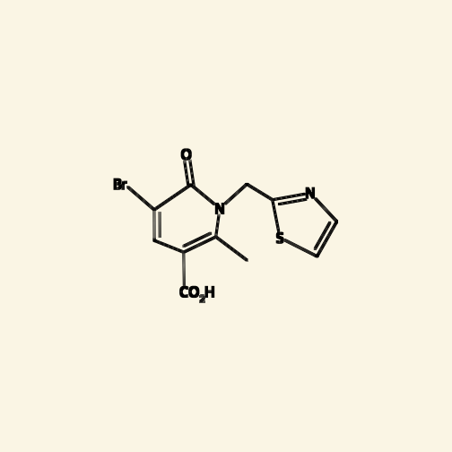 Cc1c(C(=O)O)cc(Br)c(=O)n1Cc1nccs1